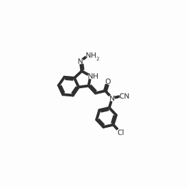 N#CN(C(=O)/C=C1\N/C(=N\N)c2ccccc21)c1cccc(Cl)c1